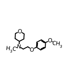 COc1ccc(OCCN(C)C2CCOCC2)cc1